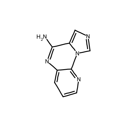 Nc1nc2cccnc2n2cncc12